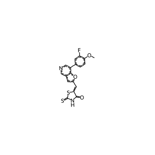 COc1ccc(-c2cncc3cc(/C=C4\SC(=S)NC4=O)oc23)cc1F